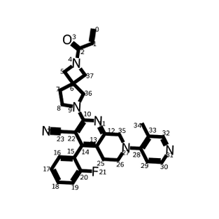 C=CC(=O)N1CC2(CCN(c3nc4c(c(-c5ccccc5F)c3C#N)CCN(c3ccncc3C)C4)C2)C1